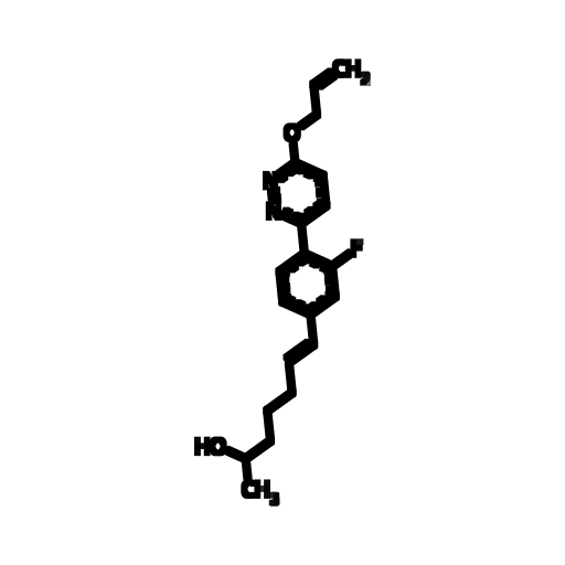 C=CCOc1ccc(-c2ccc(C=CCCCC(C)O)cc2F)nn1